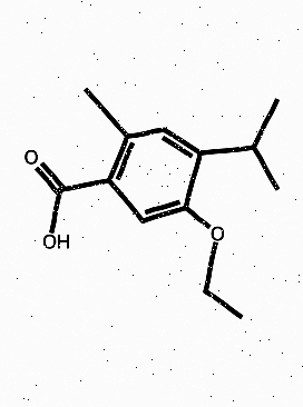 CCOc1cc(C(=O)O)c(C)cc1C(C)C